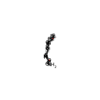 COC(CCc1cn(CCCCc2ccc(OCc3coc(C=Cc4ccc(C(F)(F)F)cc4F)n3)cc2)nn1)COC(N)=O